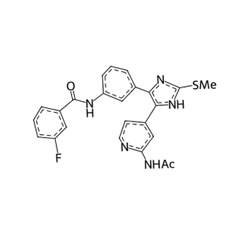 CSc1nc(-c2cccc(NC(=O)c3cccc(F)c3)c2)c(-c2ccnc(NC(C)=O)c2)[nH]1